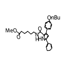 CCCCOc1ccc(-c2cc(C3=CCCC=C3)[nH]c2C(=O)NCCCCCC(=O)OC)cc1